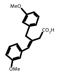 COc1cccc(/C=C(/CC(=O)O)Cc2cccc(OC)c2)c1